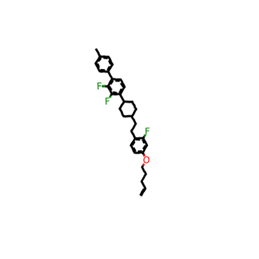 C=CCCCOc1ccc(CCC2CCC(c3ccc(-c4ccc(C)cc4)c(F)c3F)CC2)c(F)c1